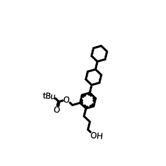 CC(C)(C)C(=O)OCc1cc(C2CCC(C3CCCCC3)CC2)ccc1CCCO